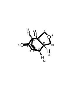 O=C1C[C@@H]2C=C[C@H]1[C@@H]1COC[C@H]12